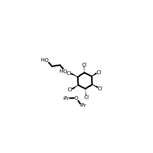 CC(C)OC(C)C.Cl[C@H]1[C@H](Cl)[C@@H](Cl)[C@@H](Cl)[C@H](Cl)[C@H]1Cl.OCCO